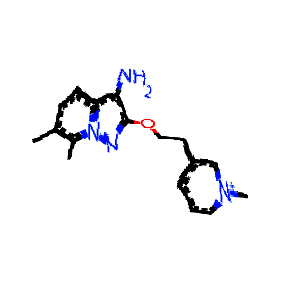 Cc1ccc2c(N)c(OCCc3ccc[n+](C)c3)nn2c1C